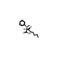 CCCCCC(=O)[C@](C)(C(=O)O)N(C)c1ccccc1